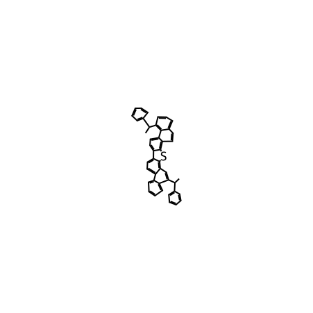 CC(c1ccccc1)c1cc2c(ccc3c4ccc5c(ccc6cccc(C(C)c7ccccc7)c65)c4sc23)c2ccccc12